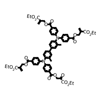 C=C(COC(=O)c1ccc(N(c2ccc(C(=O)OCC(=C)C(=O)OCC)cc2)c2ccc(-c3ccc(N(c4ccc(C(=O)OCC(=C)C(=O)OCC)cc4)c4ccc(C(=O)OCC(=O)C(=O)OCC)cc4)c(C)c3)cc2C)cc1)C(=O)OCC